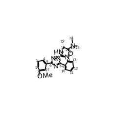 COc1cccc(-c2nc3c4ccccc4nc(N[C@H](C)C(=O)N(C)C)n3n2)c1